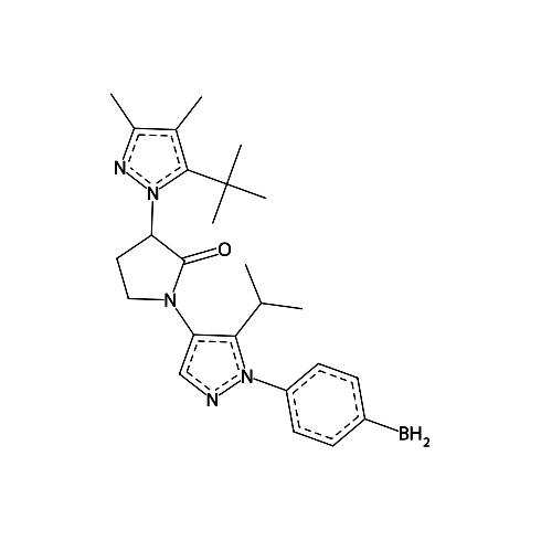 Bc1ccc(-n2ncc(N3CCC(n4nc(C)c(C)c4C(C)(C)C)C3=O)c2C(C)C)cc1